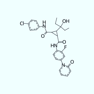 CCC(O)(CC)C1C(C(=O)Nc2ccc(Cl)cc2)C1C(=O)Nc1ccc(-n2ccccc2=O)cc1F